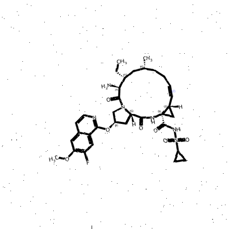 CC[C@@H]1C[C@H](C)CC/C=C\[C@@H]2C[C@@]2(C(=O)NS(=O)(=O)C2CC2)NC(=O)[C@@H]2C[C@@H](Oc3nccc4cc(OC)c(F)cc34)CN2C(=O)[C@H]1N